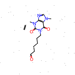 C=C.Cn1cnc2c1c(=O)n(CCCCCC=O)c(=O)n2C